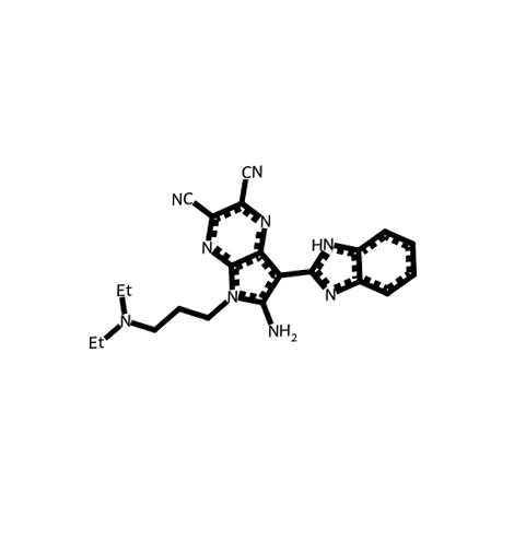 CCN(CC)CCCn1c(N)c(-c2nc3ccccc3[nH]2)c2nc(C#N)c(C#N)nc21